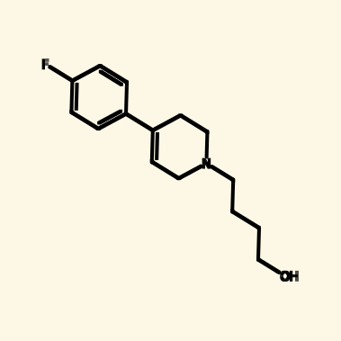 OCCCCN1CC=C(c2ccc(F)cc2)CC1